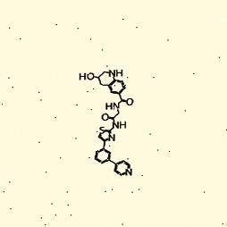 O=C(CNC(=O)c1ccc2c(c1)CC(O)CN2)Nc1nc(-c2cccc(-c3ccncc3)c2)cs1